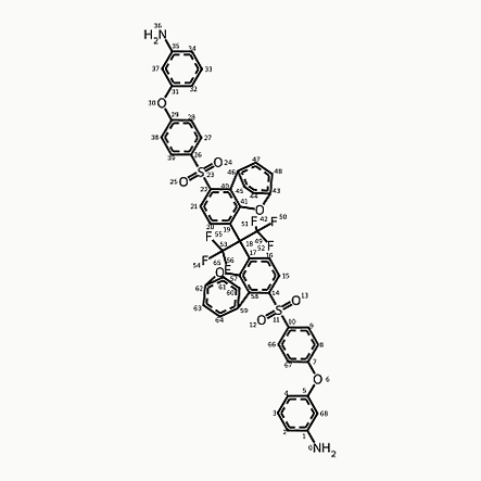 Nc1cccc(Oc2ccc(S(=O)(=O)c3ccc(C(c4ccc(S(=O)(=O)c5ccc(Oc6cccc(N)c6)cc5)c5c4Oc4ccc-5cc4)(C(F)(F)F)C(F)(F)F)c4c3-c3ccc(cc3)O4)cc2)c1